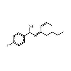 C/C=C\C(CCCC)=N/C(S)c1ccc(F)cc1